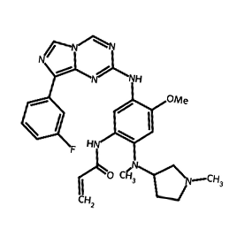 C=CC(=O)Nc1cc(Nc2ncn3cnc(-c4cccc(F)c4)c3n2)c(OC)cc1N(C)C1CCN(C)C1